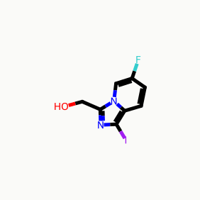 OCc1nc(I)c2ccc(F)cn12